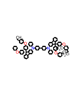 C=CC1=CC(C)C(Oc2ccc(C3(c4ccc(OC5=CC(C)CC=C5)cc4)c4ccccc4-c4ccc(N(c5ccccc5)c5ccc(-c6ccc(N(c7ccccc7)c7ccc8c(c7)[C@](c7ccc(Oc9ccccc9)cc7)(c7ccc(Oc9ccc(C=C)cc9)cc7)c7ccccc7-8)cc6)cc5)cc43)cc2)C=C1